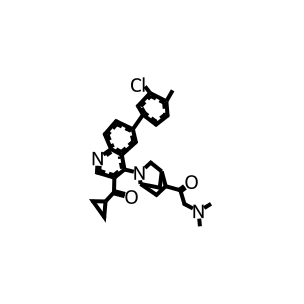 Cc1ccc(-c2ccc3ncc(C(=O)C4CC4)c(N4CC5CC4CC5C(=O)CN(C)C)c3c2)cc1Cl